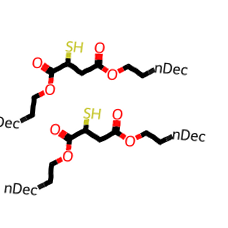 CCCCCCCCCCCCOC(=O)CC(S)C(=O)OCCCCCCCCCCCC.CCCCCCCCCCCCOC(=O)CC(S)C(=O)OCCCCCCCCCCCC